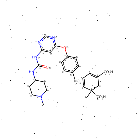 CC1(C(=O)O)C=CC=C(C(=O)O)C1.CN1CCC(NC(=O)Nc2cc(Oc3ccc([N+](=O)[O-])cc3)ncn2)CC1